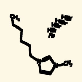 Br.Br.Br.Br.CCCCCC[n+]1ccn(C)c1.[Fe]